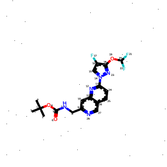 CC(C)(C)OC(=O)NCc1cc2nc(-n3cc(F)c(OC(F)F)n3)ccc2cn1